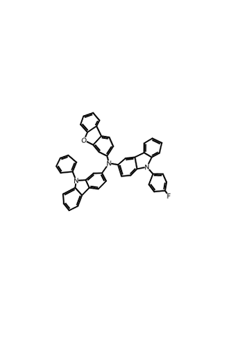 Fc1ccc(-n2c3ccccc3c3cc(N(c4ccc5c(c4)oc4ccccc45)c4ccc5c6ccccc6n(-c6ccccc6)c5c4)ccc32)cc1